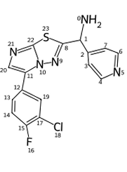 NC(c1ccncc1)c1nn2c(-c3ccc(F)c(Cl)c3)cnc2s1